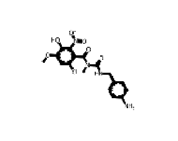 COc1cc(Cl)c(C(=O)N(C)C(=O)NCc2ccc(N)cc2)c([N+](=O)[O-])c1O